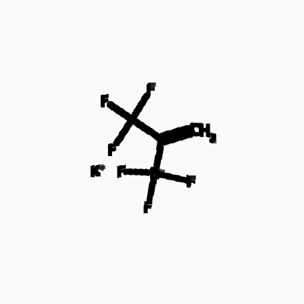 C=C([B-](F)(F)F)C(F)(F)F.[K+]